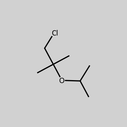 CC(C)OC(C)(C)CCl